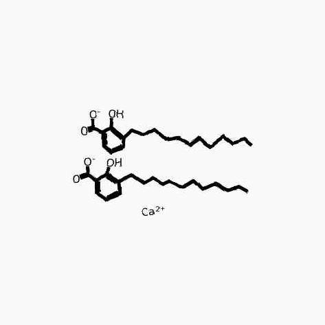 CCCCCCCCCCCCc1cccc(C(=O)[O-])c1O.CCCCCCCCCCCCc1cccc(C(=O)[O-])c1O.[Ca+2]